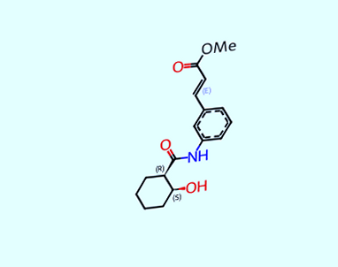 COC(=O)/C=C/c1cccc(NC(=O)[C@@H]2CCCC[C@@H]2O)c1